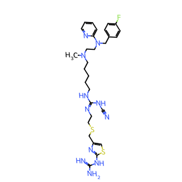 CN(CCCCCN/C(=N/CCSCc1csc(NC(=N)N)n1)NC#N)CCN(Cc1ccc(F)cc1)c1ccccn1